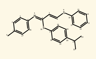 Cc1ccc(N=C(C=CSc2ccccc2)Sc2ccc(C(C)C)cc2)cc1